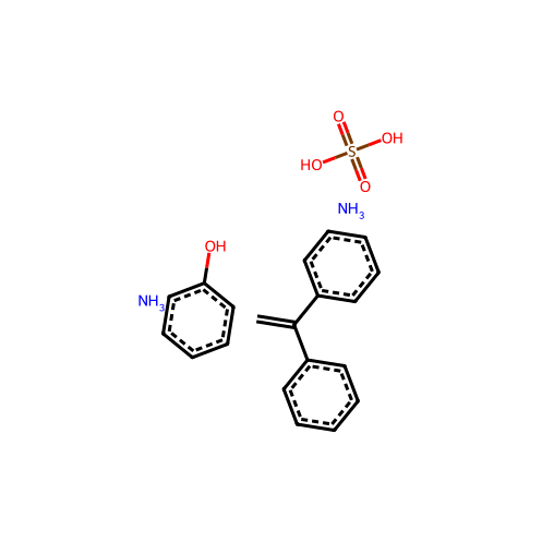 C=C(c1ccccc1)c1ccccc1.N.N.O=S(=O)(O)O.Oc1ccccc1